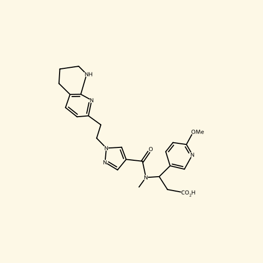 COc1ccc(C(CC(=O)O)N(C)C(=O)c2cnn(CCc3ccc4c(n3)NCCC4)c2)cn1